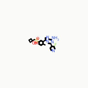 Cc1ccc(S(=O)(=O)CC2(O)CCC2)cc1-c1cnc2c(N)nc(-c3ccncc3F)cn12